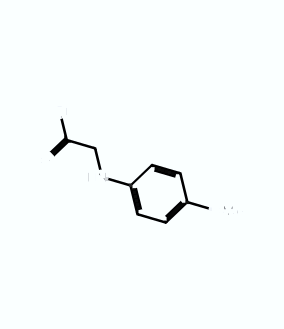 CCC(=O)CNc1ccc(OC)cc1